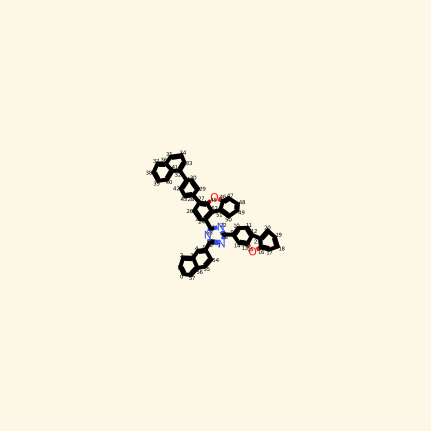 c1ccc2cc(-c3nc(-c4ccc5c(c4)oc4ccccc45)nc(-c4ccc(-c5ccc(-c6cccc7ccccc67)cc5)c5oc6ccccc6c45)n3)ccc2c1